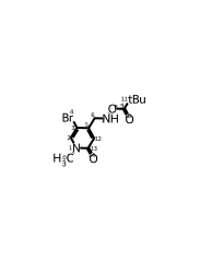 Cn1cc(Br)c(CNOC(=O)C(C)(C)C)cc1=O